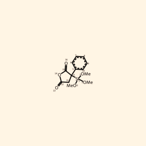 CO[Si](OC)(OC)C1(c2ccccc2)CC(=O)OC1=O